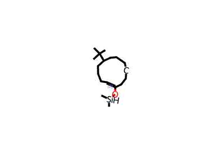 C[SiH](C)O/C1=C\CCCC(C(C)(C)C)CCCCCC1